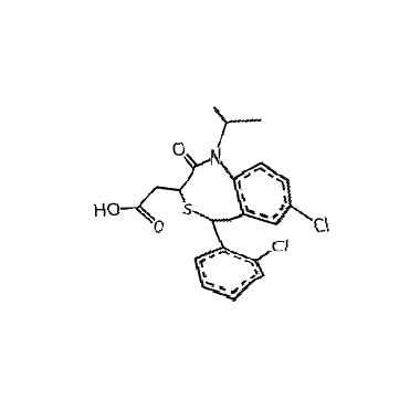 CC(C)N1C(=O)C(CC(=O)O)SC(c2ccccc2Cl)c2cc(Cl)ccc21